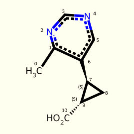 Cc1ncncc1[C@H]1C[C@@H]1C(=O)O